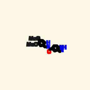 COc1ccc(CNC(=O)c2ccc3[nH]ncc3c2)cc1OC